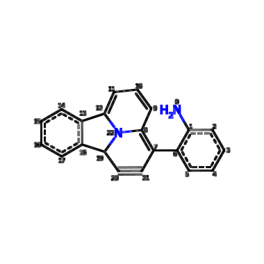 Nc1ccccc1C1=C2C=CC=C3c4ccccc4C(C#C1)N32